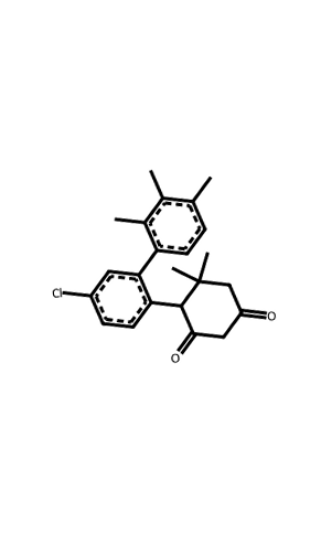 Cc1ccc(-c2cc(Cl)ccc2C2C(=O)CC(=O)CC2(C)C)c(C)c1C